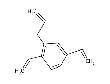 C=CCc1cc(C=C)ccc1C=C